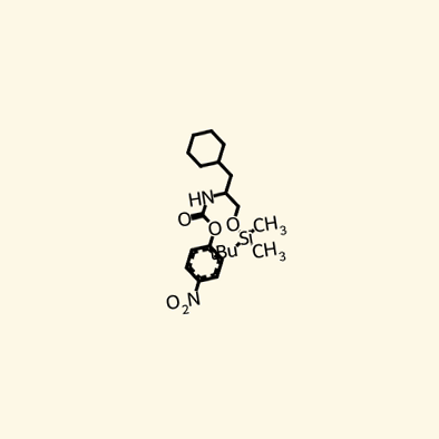 CC(C)(C)[Si](C)(C)OCC(CC1CCCCC1)NC(=O)Oc1ccc([N+](=O)[O-])cc1